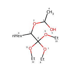 CCCCCCC(OC(C)O)C(OCC)(OCC)OCC